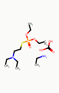 CCN.CCOP(=O)(OCC)SCCN(CC)CC.O=C(O)O